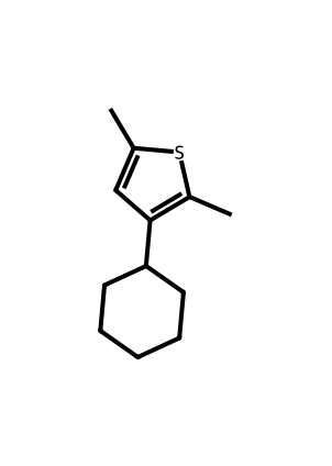 Cc1cc(C2CCCCC2)c(C)s1